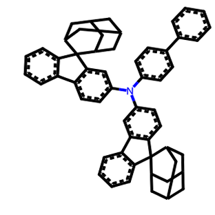 c1ccc(-c2ccc(N(c3ccc4c(c3)-c3ccccc3C43C4CC5CC(C4)CC3C5)c3ccc4c(c3)C3(c5ccccc5-4)C4CC5CC(C4)CC3C5)cc2)cc1